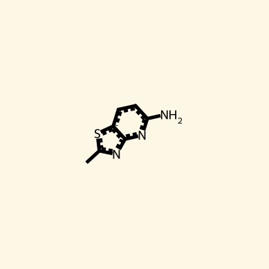 Cc1nc2nc(N)ccc2s1